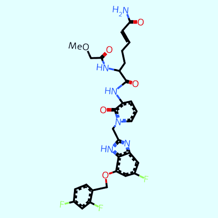 COCC(=O)NC(CCC=CC(N)=O)C(=O)Nc1cccn(Cc2nc3cc(F)cc(OCc4ccc(F)cc4F)c3[nH]2)c1=O